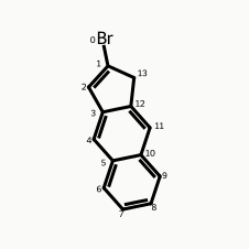 BrC1=Cc2cc3ccccc3cc2C1